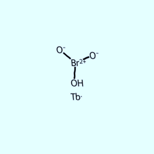 [O-][Br+2]([O-])O.[Tb]